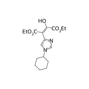 CCOC(=O)/C(O)=C(/C(=O)OCC)c1cn(C2CCCCC2)cn1